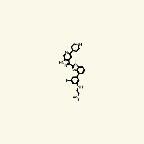 CN(C)CCNc1cc(F)cc(-c2cccc3[nH]c(-c4n[nH]c5cnc(C6CCNCC6)cc45)nc23)c1